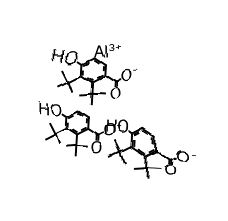 CC(C)(C)c1c(O)ccc(C(=O)[O-])c1C(C)(C)C.CC(C)(C)c1c(O)ccc(C(=O)[O-])c1C(C)(C)C.CC(C)(C)c1c(O)ccc(C(=O)[O-])c1C(C)(C)C.[Al+3]